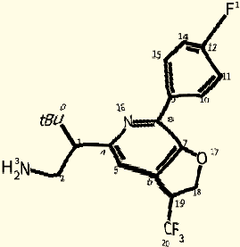 CC(C)(C)C(CN)c1cc2c(c(-c3ccc(F)cc3)n1)OCC2C(F)(F)F